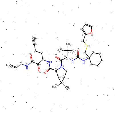 C#CCCC(NC(=O)[C@@H]1C2C(CN1C(=O)[C@@H](NC(=O)NC1(CSCc3ccco3)CCCCC1)C(C)(C)C)C2(C)C)C(=O)C(=O)NCC=C